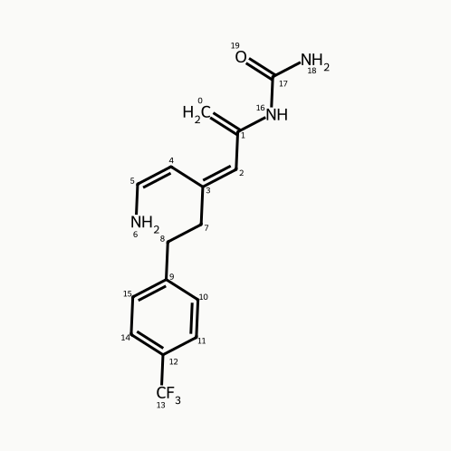 C=C(/C=C(\C=C/N)CCc1ccc(C(F)(F)F)cc1)NC(N)=O